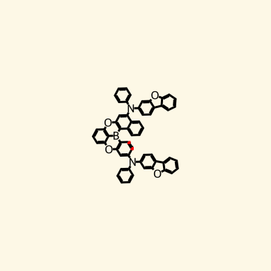 c1ccc(N(c2ccc3c(c2)oc2ccccc23)c2cc3c(c4ccccc24)B2c4c(cccc4Oc4cc(N(c5ccccc5)c5ccc6c(c5)oc5ccccc56)c5ccccc5c42)O3)cc1